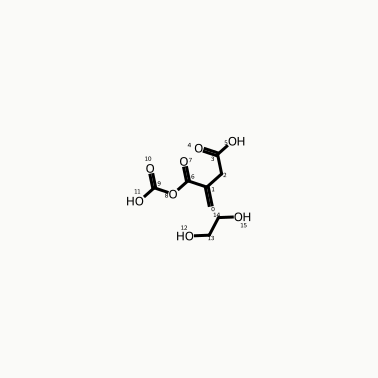 C=C(CC(=O)O)C(=O)OC(=O)O.OCCO